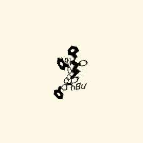 CCCC[C@H](OC(=O)CCC(=O)[C@H](Cc1ccccc1)NC(=O)c1ccccc1)C(=O)OCc1ccccc1